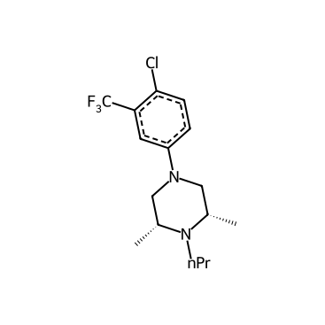 CCCN1[C@H](C)CN(c2ccc(Cl)c(C(F)(F)F)c2)C[C@@H]1C